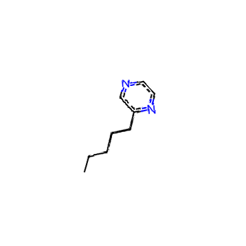 CCCCCc1cnccn1